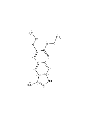 CCOC(=O)/C(=C\c1ccc2[nH]cc(C)c2c1)OCC